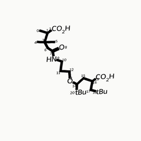 CC(C(=O)O)C(C)(C)CC(=O)NCCCOC(CC(CC(C)(C)C)C(=O)O)C(C)(C)C